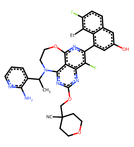 CCc1c(F)ccc2cc(O)cc(-c3nc4c5c(nc(OCC6(C#N)CCOCC6)nc5c3F)N(C(C)c3cccnc3N)CCO4)c12